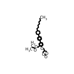 C=C(C)C(=O)OCc1cc(-c2ccc(C3CCC(CCCCCCCC)CC3)cc2)ccc1OCC1COC(=O)OC1